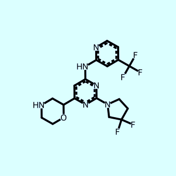 FC1(F)CCN(c2nc(Nc3cc(C(F)(F)F)ccn3)cc(C3CNCCO3)n2)C1